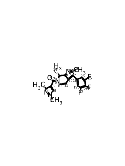 Cc1nn(C)cc1C(=O)N1CCc2c(nn(C)c2-c2cc(F)c(F)c(F)c2)[C@@H]1C